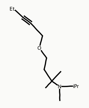 CCC#CCOCCC(C)(C)N(C)C(C)C